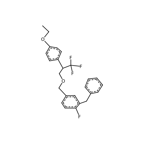 CCOc1ccc(C(COCc2ccc(F)c(Cc3ccccc3)c2)C(F)(F)F)cc1